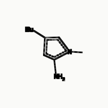 CCC(C)c1cc(N)n(C)c1